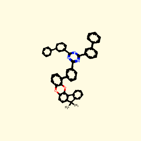 CC1(C)c2ccccc2-c2c1ccc1c2Oc2c(cccc2-c2cccc(-c3nc(-c4cccc(-c5ccccc5)c4)nc(-c4cccc(-c5ccccc5)c4)n3)c2)O1